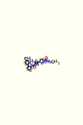 C=CCNC(=O)N1CCC(c2nc(C(=O)Nc3ccccc3-c3ccc(C)cc3)cs2)CC1